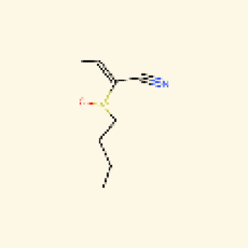 C/C=C(/C#N)[S+]([O-])CCCC